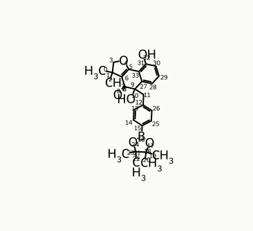 CC1(C)COC2=C1C(=O)C(O)(Cc1ccc(B3OC(C)(C)C(C)(C)O3)cc1)c1cccc(O)c12